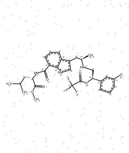 COC(=O)[C@H](CC(C)C)NC(=O)c1cccc2c(C[C@@H](C)NC[C@H](OC(=O)C(F)(F)F)c3cccc(Cl)c3)c[nH]c12